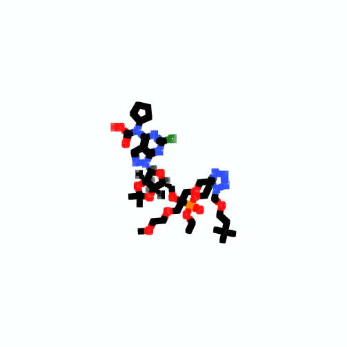 CCOP(=O)(OCC)C(COCCOC)(COCc1nnnn1COCC[Si](C)(C)C)OC[C@H]1O[C@@H](n2ncc3c(N(C(=O)O)C4CCCC4)nc(Cl)nc32)[C@@H]2OC(C)(C)O[C@@H]21